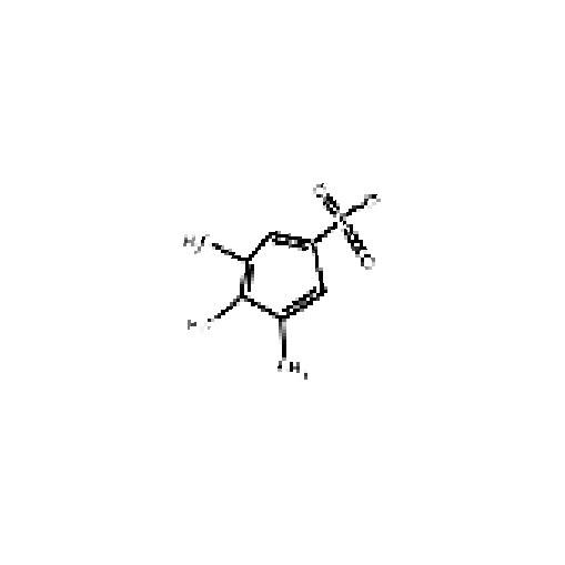 Cc1cc(S([O])(=O)=O)cc(C)c1C